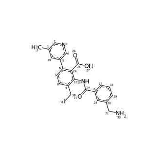 Cc1cncc(-c2ccc(CI)c(NC(=O)c3cccc(CN)c3)c2C(=O)O)c1